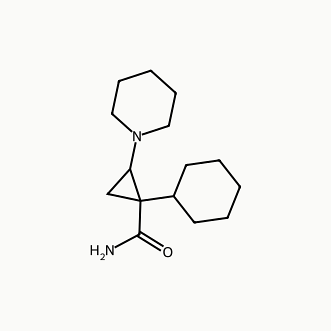 NC(=O)C1(C2CCCCC2)CC1N1CCCCC1